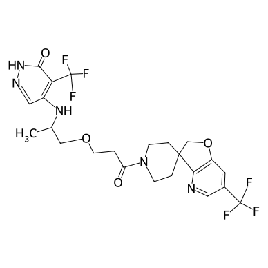 CC(COCCC(=O)N1CCC2(CC1)COc1cc(C(F)(F)F)cnc12)Nc1cn[nH]c(=O)c1C(F)(F)F